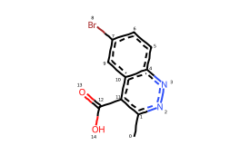 Cc1nnc2ccc(Br)cc2c1C(=O)O